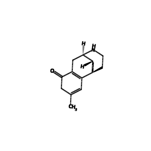 CC1=CC2=C(C[C@H]3NCC[C@@]24CCCC[C@@H]34)C(=O)C1